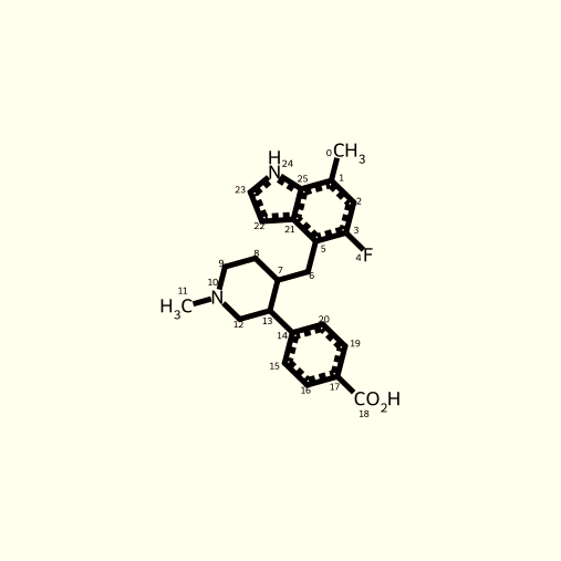 Cc1cc(F)c(CC2CCN(C)CC2c2ccc(C(=O)O)cc2)c2cc[nH]c12